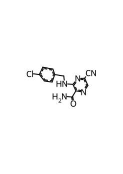 N#Cc1cnc(C(N)=O)c(NCc2ccc(Cl)cc2)n1